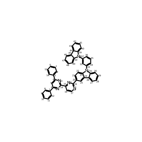 c1ccc(-c2cc(-c3ccccc3)nc(-c3ccnc(-c4ccc5c(c4)c4ccccc4n5-c4cccc(-n5c6ccccc6c6ccccc65)c4)n3)n2)cc1